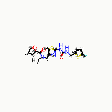 CN(Cc1csc(NC(=O)NCc2ccc(F)s2)n1)C(=O)C1CCCO1